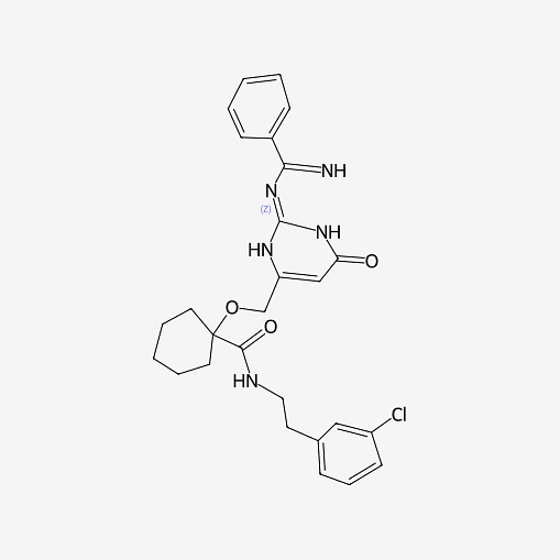 N=C(/N=c1/[nH]c(COC2(C(=O)NCCc3cccc(Cl)c3)CCCCC2)cc(=O)[nH]1)c1ccccc1